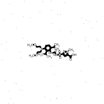 COCCN(CCOC)c1ccc(C(C)C)c(NC(=O)NS(=O)(=O)c2cc(C(=O)O)n(C)n2)c1C(C)C